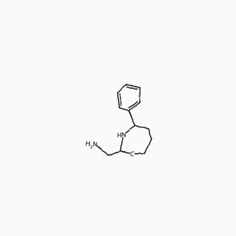 NCC1CCCCC(c2ccccc2)N1